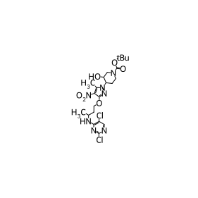 Cc1c([N+](=O)[O-])c(OCCC(C)Nc2nc(Cl)ncc2Cl)nn1C1CCN(C(=O)OC(C)(C)C)CC1O